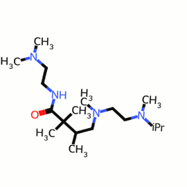 CC(C)N(C)CCN(C)CC(C)C(C)(C)C(=O)NCCN(C)C